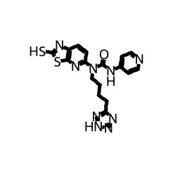 O=C(Nc1ccncc1)N(CCCCc1nn[nH]n1)c1ccc2nc(S)sc2n1